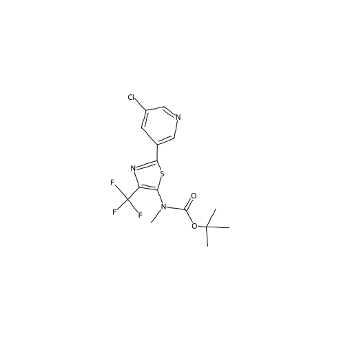 CN(C(=O)OC(C)(C)C)c1sc(-c2cncc(Cl)c2)nc1C(F)(F)F